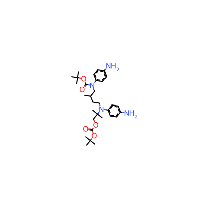 CC(CCN(c1ccc(N)cc1)C(C)(C)COC(=O)OC(C)(C)C)CN(C(=O)OC(C)(C)C)c1ccc(N)cc1